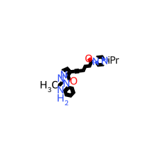 CC(N)c1nn2ccc(C#CCCCC(=O)N3CCN(C(C)C)CC3)c2c(=O)n1-c1ccccc1